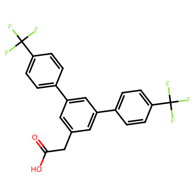 O=C(O)Cc1cc(-c2ccc(C(F)(F)F)cc2)cc(-c2ccc(C(F)(F)F)cc2)c1